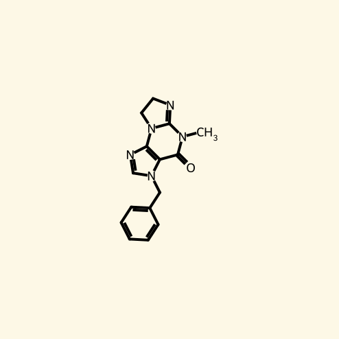 CN1C(=O)c2c(ncn2Cc2ccccc2)N2CCN=C12